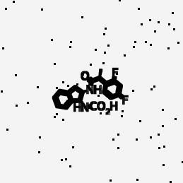 C[C@H](C(=O)N[C@H]1Cc2ccccc2[C@@H]1NC(=O)O)c1ccc(F)cc1F